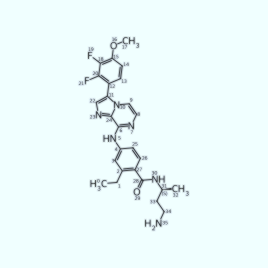 CCc1cc(Nc2nccn3c(-c4ccc(OC)c(F)c4F)cnc23)ccc1C(=O)N[C@@H](C)CCN